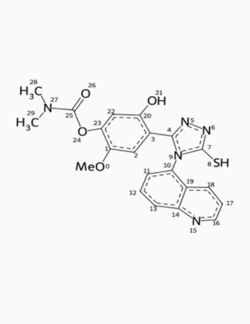 COc1cc(-c2nnc(S)n2-c2cccc3ncccc23)c(O)cc1OC(=O)N(C)C